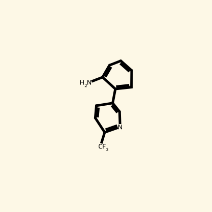 Nc1ccccc1-c1ccc(C(F)(F)F)nc1